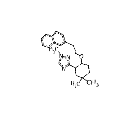 Cn1cnc(C2CC(C)(C)CCC2OCCc2ccc3ccccc3c2)n1